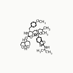 COc1ccc(C[C@H](NC(=O)O[C@H]2CCO[C@H]3OCC[C@H]32)[C@H](O)CN(CC(C)C)S(=O)(=O)c2ccc3nc(NC(C)C)oc3c2)cc1